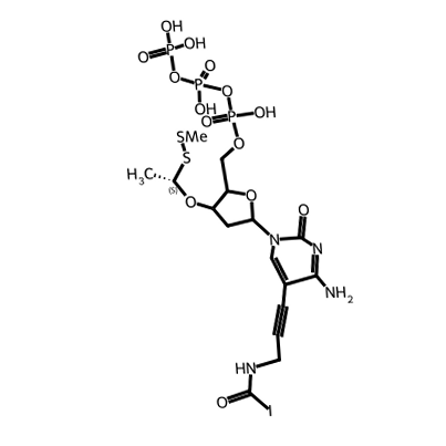 CSS[C@@H](C)OC1CC(n2cc(C#CCNC(=O)I)c(N)nc2=O)OC1COP(=O)(O)OP(=O)(O)OP(=O)(O)O